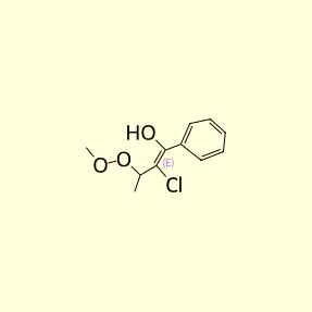 COOC(C)/C(Cl)=C(\O)c1ccccc1